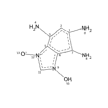 Nc1cc(N)c2c(c1N)n(O)c[n+]2[O-]